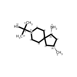 C[C@H]1C[C@@H](N)C2(CCN(C(C)(C)S)CC2)C1